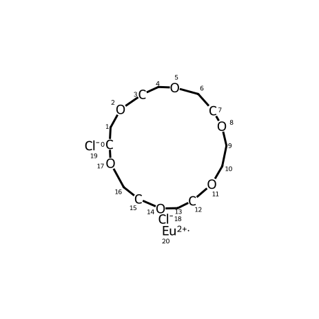 C1COCCOCCOCCOCCOCCO1.[Cl-].[Cl-].[Eu+2]